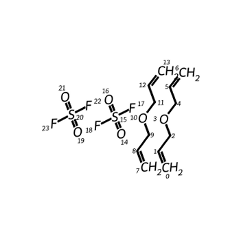 C=CCOCC=C.C=CCOCC=C.O=S(=O)(F)F.O=S(=O)(F)F